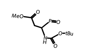 COC(=O)CC(NC(=O)OC(C)(C)C)P=O